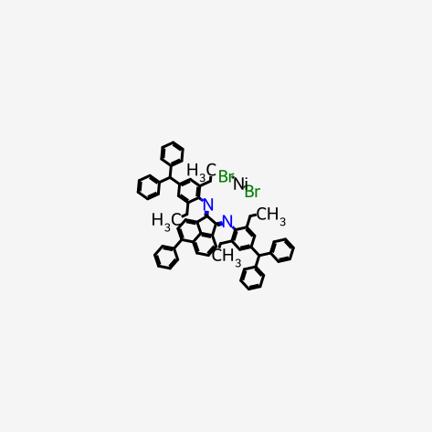 CCc1cc(C(c2ccccc2)c2ccccc2)cc(CC)c1N=C1C(=Nc2c(CC)cc(C(c3ccccc3)c3ccccc3)cc2CC)c2ccc(-c3ccccc3)c3cccc1c23.[Br][Ni][Br]